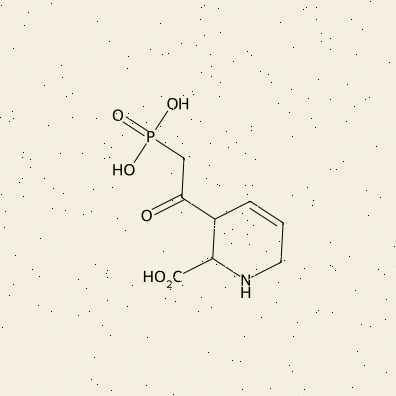 O=C(CP(=O)(O)O)C1C=CCNC1C(=O)O